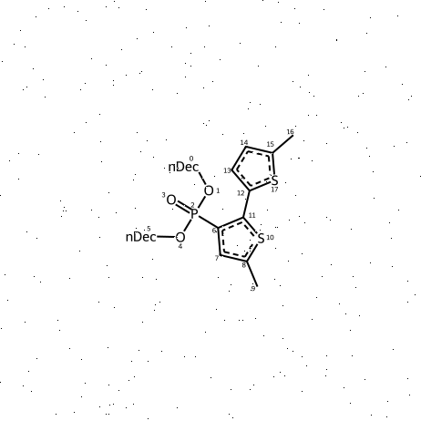 CCCCCCCCCCOP(=O)(OCCCCCCCCCC)c1cc(C)sc1-c1ccc(C)s1